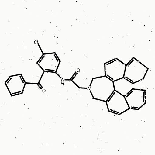 O=C(CN1Cc2ccc3c(c2-c2c(ccc4ccccc24)C1)=CCCC=3)Nc1ccc(Cl)cc1C(=O)c1ccccc1